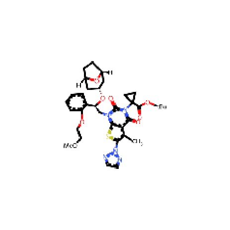 COCCOc1ccccc1[C@H](Cn1c(=O)n(C2(C(=O)OC(C)(C)C)CC2)c(=O)c2c(C)c(-n3nccn3)sc21)O[C@H]1C[C@H]2CC[C@@H](C1)O2